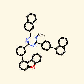 C=N/C(=N\C(=N/Cc1ccc2ccccc2c1)c1cccc(-c2cccc3oc4ccccc4c23)c1)c1ccc(-c2cccc3ccccc23)cc1